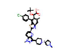 Cc1cc2nc(-c3ccc4c(n3)c(C3CCN([C@@H]5CCN(C)C5)CC3)nn4C)sc2c(-c2ccc(Cl)cc2)c1C(OC(C)(C)C)C(=O)O